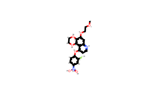 COCCOc1cc2nccc(Oc3ccc([N+](=O)[O-])cc3F)c2c2c1OCCO2